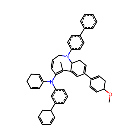 COC1C=CC(C2=CCC3C(=C2)/C(C)=C(N(C2=CCCC=C2)c2cccc(C4C=CC=CC4)c2)/C=C\CN3c2ccc(-c3ccccc3)cc2)=CC1